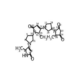 C[C@@H]1NC(=O)C=C1N1CCC(N2C(=O)C=C(N3CC[C@H](N4C(=O)CC(=O)[C@@H]4C)C3)[C@@H]2C)C1